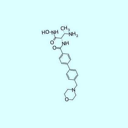 C[C@H](N)[C@H](NC(=O)c1ccc(-c2ccc(CN3CCOCC3)cc2)cc1)C(=O)NO